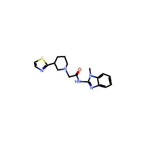 Cn1c(NC(=O)CN2CCCC(c3nccs3)C2)nc2ccccc21